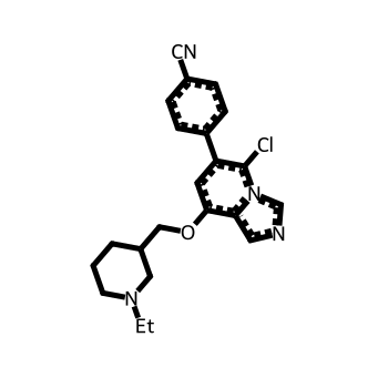 CCN1CCCC(COc2cc(-c3ccc(C#N)cc3)c(Cl)n3cncc23)C1